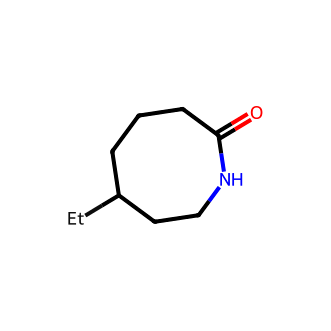 CCC1CCCC(=O)NCC1